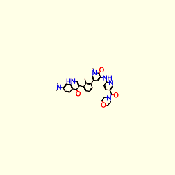 Cc1c(-c2cc(Nc3ccc(C(=O)N4CCOCC4)cn3)c(=O)n(C)c2)cccc1-c1c[nH]c2cc(N(C)C)ccc2c1=O